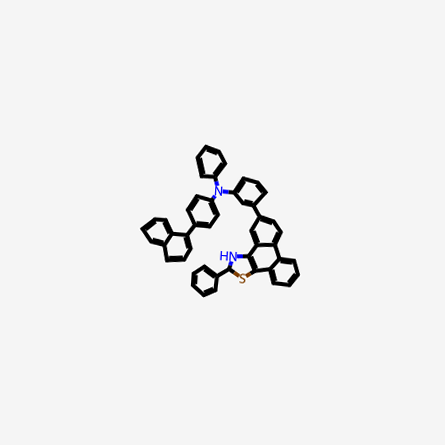 c1ccc(C2Nc3c(c4ccccc4c4ccc(-c5cccc(N(c6ccccc6)c6ccc(-c7cccc8ccccc78)cc6)c5)cc34)S2)cc1